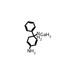 NC1=CCC(N)(c2ccccc2)C=C1.[GaH3]